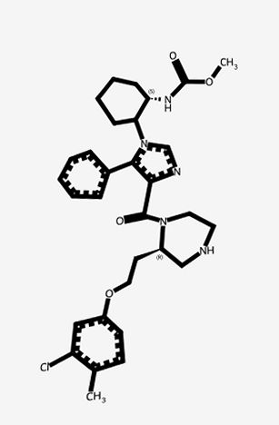 COC(=O)N[C@H]1CCCCC1n1cnc(C(=O)N2CCNC[C@H]2CCOc2ccc(C)c(Cl)c2)c1-c1ccccc1